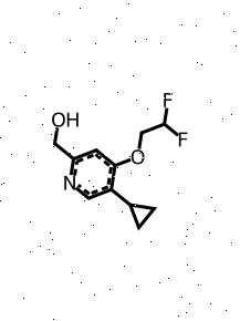 OCc1cc(OCC(F)F)c(C2CC2)cn1